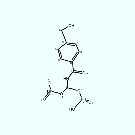 O=C(NC(O[PH](=O)O)O[PH](=O)O)c1ccc(CO)cc1